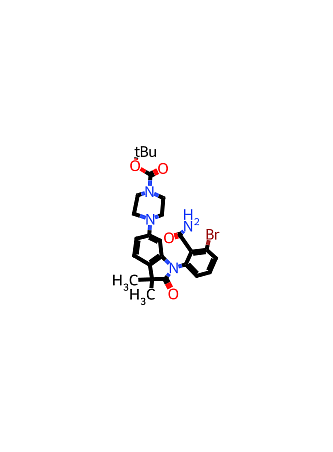 CC(C)(C)OC(=O)N1CCN(c2ccc3c(c2)N(c2cccc(Br)c2C(N)=O)C(=O)C3(C)C)CC1